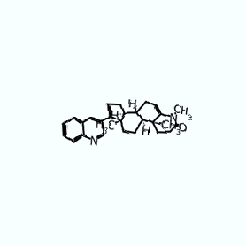 CN1C(=O)CC[C@@]2(C)C1=CC[C@@H]1[C@@H]2CC[C@]2(C)C(c3cnc4ccccc4c3)=CC[C@@H]12